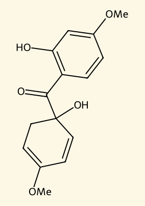 COC1=CCC(O)(C(=O)c2ccc(OC)cc2O)C=C1